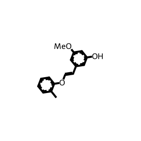 COc1cc(O)cc(/C=C/Oc2ccccc2C)c1